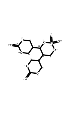 O=C1OCC(C2COS(=O)(=O)OC2C2COC(=O)OC2)CO1